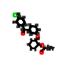 CCCC(=O)OC1CCCCC1Oc1cccc(C(=O)c2ccc(Cl)cc2)c1